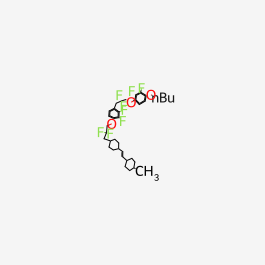 CCCCOc1ccc(OCC(F)(F)Cc2ccc(OCC(F)(F)CC3CCC(/C=C/C4CCC(C)CC4)CC3)c(F)c2F)c(F)c1F